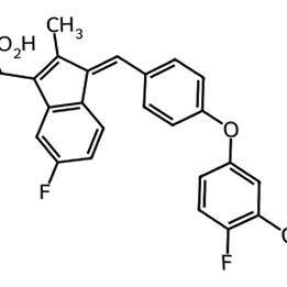 CC1=C(CC(=O)O)c2cc(F)ccc2/C1=C\c1ccc(Oc2ccc(F)c(Cl)c2)cc1